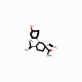 C=C[C@]1(C(=O)OC)CC[C@@H](C(=C)C)[C@H](c2ccc(O)cc2)C1